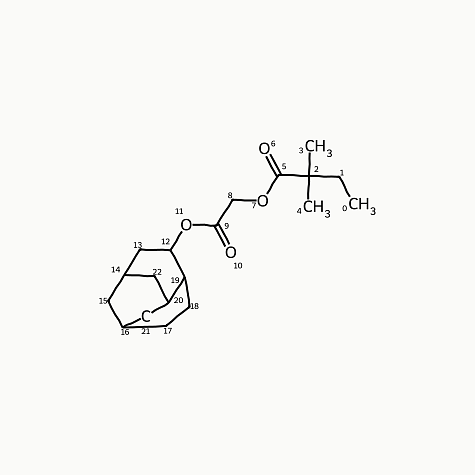 CCC(C)(C)C(=O)OCC(=O)OC1CC2CC3CCC1C(C3)C2